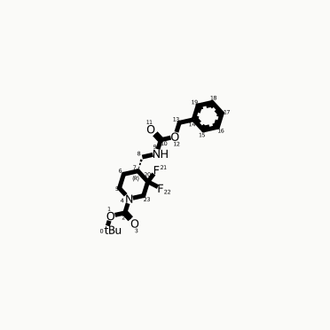 CC(C)(C)OC(=O)N1CC[C@H](CNC(=O)OCc2ccccc2)C(F)(F)C1